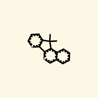 CC1(C)c2cccnc2-c2ncc3ccccc3c21